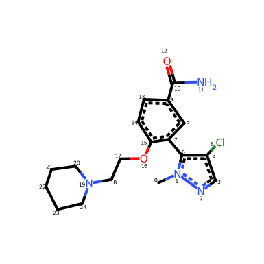 Cn1ncc(Cl)c1-c1cc(C(N)=O)ccc1OCCN1CCCCC1